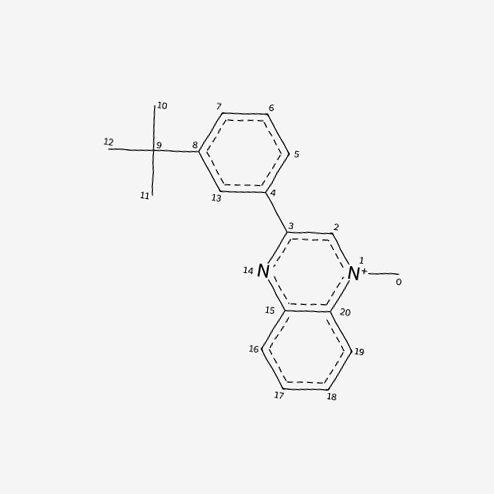 C[n+]1cc(-c2cccc(C(C)(C)C)c2)nc2ccccc21